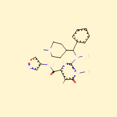 CN1CCC(C(c2ccccc2)N(C)c2nc(C(=O)Nc3cnoc3)c(O)c(=O)n2C)CC1